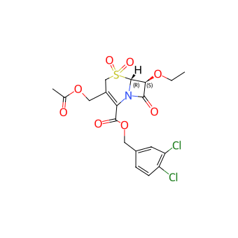 CCO[C@H]1C(=O)N2C(C(=O)OCc3ccc(Cl)c(Cl)c3)=C(COC(C)=O)CS(=O)(=O)[C@H]12